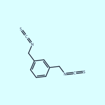 S=C=NCc1cccc(CN=C=S)c1